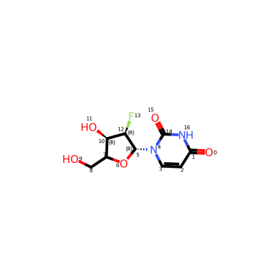 O=c1ccn([C@@H]2OC(CO)[C@@H](O)[C@H]2F)c(=O)[nH]1